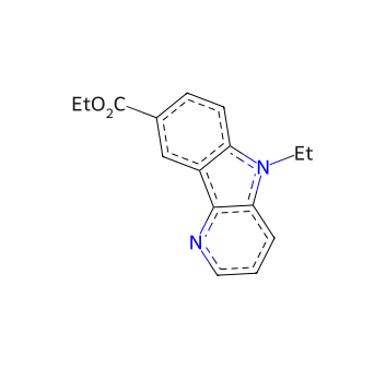 CCOC(=O)c1ccc2c(c1)c1ncccc1n2CC